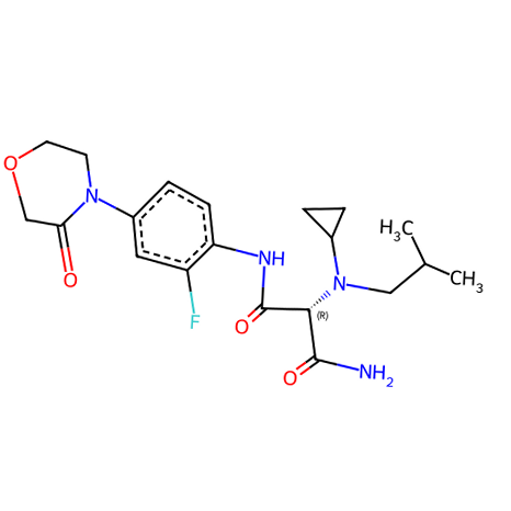 CC(C)CN(C1CC1)[C@H](C(N)=O)C(=O)Nc1ccc(N2CCOCC2=O)cc1F